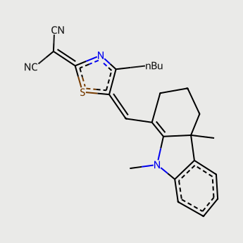 CCCCc1nc(=C(C#N)C#N)s/c1=C/C1=C2N(C)c3ccccc3C2(C)CCC1